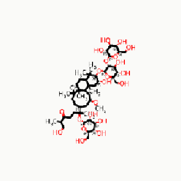 CO[C@@H]1CC2[C@@]3(C)C[C@@H](O)[C@H](O[C@@H]4O[C@H](CO)[C@@H](O)[C@H](O)[C@H]4O[C@@H]4O[C@H](CO)[C@@H](O)[C@H](O)[C@H]4O)C(C)(C)C3CC[C@@]2(C)C(C)(C)CC[C@H](C(C)(CCC(=O)C(C)CO)O[C@@H]2O[C@H](CO)[C@@H](O)[C@H](O)[C@H]2O)C1